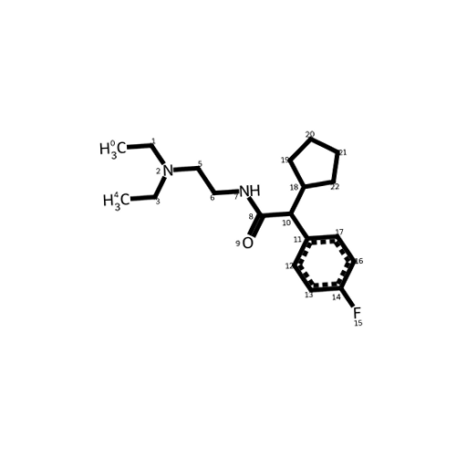 CCN(CC)CCNC(=O)C(c1ccc(F)cc1)C1CCCC1